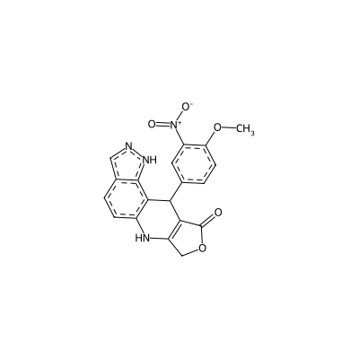 COc1ccc(C2C3=C(COC3=O)Nc3ccc4cn[nH]c4c32)cc1[N+](=O)[O-]